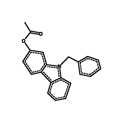 CC(=O)Oc1ccc2c3ccccc3n(Cc3ccccc3)c2c1